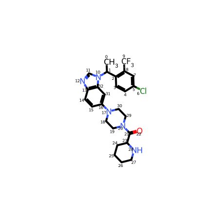 CC(c1ccc(Cl)cc1C(F)(F)F)n1cnc2ccc(N3CCN(C(=O)C4CCCCN4)CC3)cc21